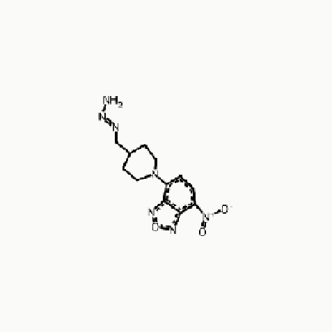 NN=NCC1CCN(c2ccc([N+](=O)[O-])c3nonc23)CC1